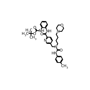 Cc1ccc(NC(=O)N(CCCCN2CCOCC2)Cc2ccc(C(=O)Nc3ccccc3NC(=O)OC(C)(C)C)nc2)cc1